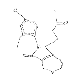 CC(=O)CSC1C2=C(CCCC2)C(=O)N1c1ccc(Cl)cc1F